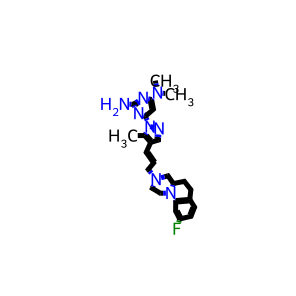 Cc1c(/C=C/CN2CCN3c4cc(F)ccc4CCC3C2)cnn1-c1cc(N(C)C)nc(N)n1